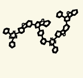 c1ccc(-c2nc(-c3ccccc3)nc(-c3ccc4c(c3)oc3ccc(-c5cc(-c6ccc(-c7cccc(-c8nc(-c9ccccc9)nc(-c9ccc%10c(c9)oc9ccc(-c%11cc(-c%12ccccc%12)c%12oc%13ccccc%13c%12c%11)cc9%10)n8)c7)cc6)c6c(c5)oc5ccccc56)cc34)n2)cc1